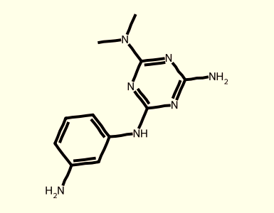 CN(C)c1nc(N)nc(Nc2cccc(N)c2)n1